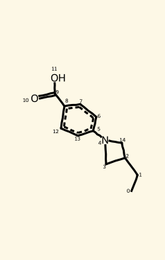 CCC1CN(c2ccc(C(=O)O)cc2)C1